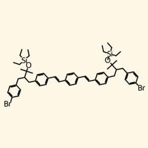 CC[Si](CC)(CC)OC(C)(C)C(Cc1ccc(Br)cc1)Cc1ccc(C=Cc2ccc(C=Cc3ccc(CC(Cc4ccc(Br)cc4)C(C)(C)O[Si](CC)(CC)CC)cc3)cc2)cc1